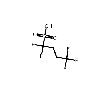 O=S(=O)(O)C(F)(F)CCC(F)(F)F